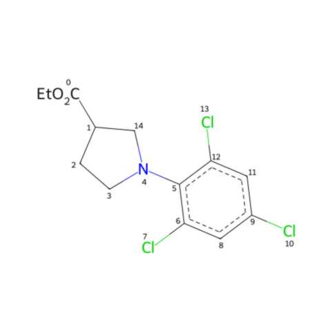 CCOC(=O)C1CCN(c2c(Cl)cc(Cl)cc2Cl)C1